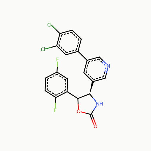 O=C1N[C@H](c2cncc(-c3ccc(Cl)c(Cl)c3)c2)C(c2cc(F)ccc2F)O1